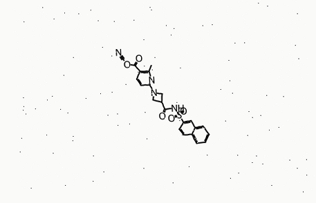 Cc1nc(N2CC(C(=O)NS(=O)(=O)c3ccc4ccccc4c3)C2)ccc1C(=O)OC#N